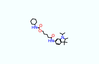 CC(C)N1c2cc(NC(=O)CCCCOC(=O)NC3CCCCC3)ccc2C(C)(C)C1C